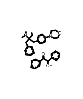 CCC(Cc1ccccc1)(Cc1ccc(N2CCOCC2)cc1)N(C)C.O=C(c1ccccc1)C(O)c1ccccc1